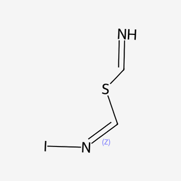 N=CS/C=N\I